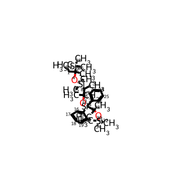 CCC(C)(O[Si](C)(C)C(C)C(C)(C)O[Si](c1ccccc1)(c1ccccc1)C(C)(C)O[Si](C)(C)C)[Si](C)(C)C